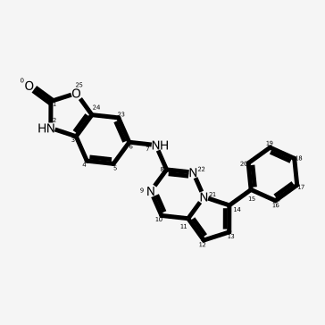 O=c1[nH]c2ccc(Nc3ncc4ccc(-c5[c]cccc5)n4n3)cc2o1